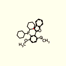 COc1ccc(OC)c(P(C2CCCCC2)C2CCCCC2)c1-c1cc2ccccc2o1